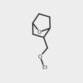 CCOCC1CC2CCC1O2